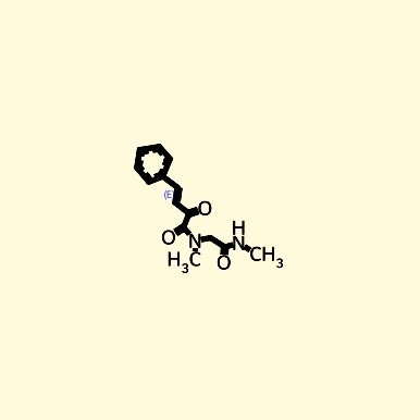 CNC(=O)CN(C)C(=O)C(=O)/C=C/c1ccccc1